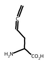 C=C=CCC(N)C(=O)O